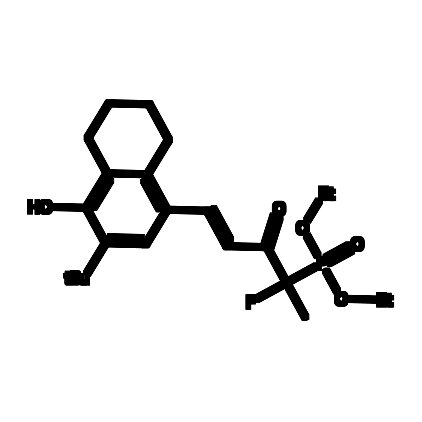 CCOP(=O)(OCC)C(C)(F)C(=O)C=Cc1cc(C(C)(C)C)c(O)c2c1CCCC2